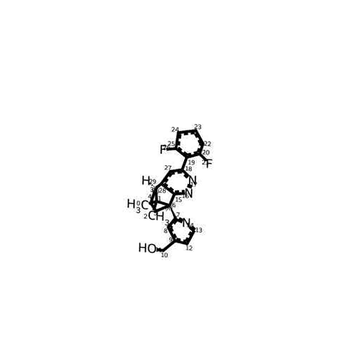 CC1(C)[C@H]2CC[C@@]1(c1cc(CO)ccn1)c1nnc(-c3c(F)cccc3F)cc12